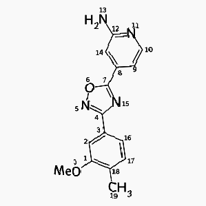 COc1cc(-c2noc(-c3ccnc(N)c3)n2)ccc1C